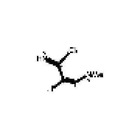 CN/C=C(/I)C(=N)Cl